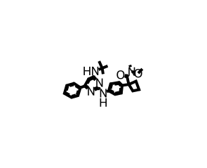 CON(C)C(=O)C1(c2ccc(Nc3nc(NC(C)(C)C)cc(-c4ccccc4)n3)cc2)CCC1